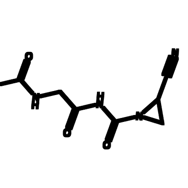 CC(=O)NCC(=O)NC(=O)N1CC1C#N